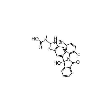 CN(C(=O)O)c1nc2cc(C3(O)c4ccccc4C(=O)N3c3cc(Br)ccc3F)ccc2[nH]1